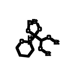 CCOC(OCC)C(OCC)(OCC)[SiH]1CCCCO1